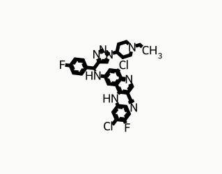 CCN1CCC(n2cc([C@@H](Nc3cc(Cl)c4ncc(C#N)c(Nc5ccc(F)c(Cl)c5)c4c3)c3ccc(F)cc3)nn2)CC1